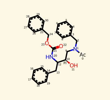 CC(=O)N(Cc1ccccc1)C[C@@H](O)C(Cc1ccccc1)NC(=O)OCc1ccccc1